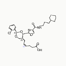 O=C(O)CC/C=C\C[C@H]1CO[C@@H](c2ccccc2Cl)OC1c1nc(C(=O)NCCCCC2CCCCC2)co1